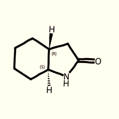 O=C1C[C@H]2CCCC[C@@H]2N1